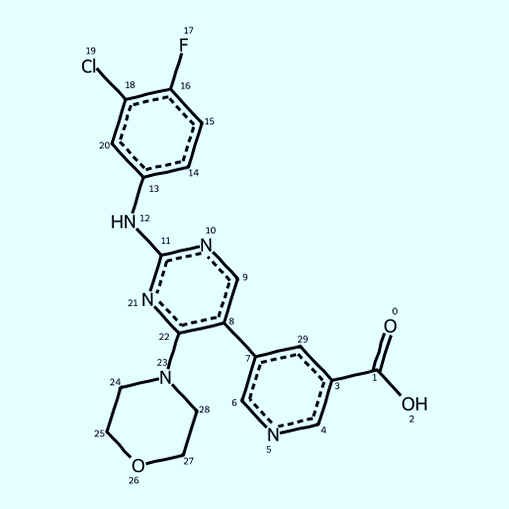 O=C(O)c1cncc(-c2cnc(Nc3ccc(F)c(Cl)c3)nc2N2CCOCC2)c1